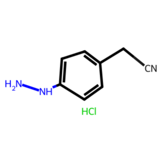 Cl.N#CCc1ccc(NN)cc1